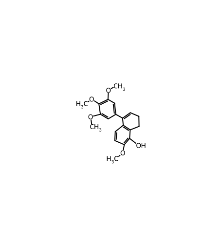 COc1ccc2c(c1O)CCC=C2c1cc(OC)c(OC)c(OC)c1